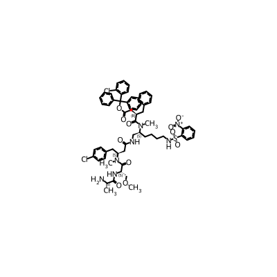 COC[C@H](NC(=O)[C@H](C)N)C(=O)N(C)[C@H](CC(=O)NC[C@H](CCCCNS(=O)(=O)c1ccccc1[N+](=O)[O-])N(C)C(=O)[C@@H](CC(=O)OC(c1ccccc1)(c1ccccc1)c1ccccc1Cl)Cc1ccccc1)Cc1ccc(Cl)cc1